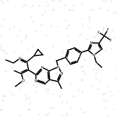 CC/N=C(\C(=C(/C)OC)c1ncc2c(C)nn(Cc3ccc(-c4nc(C(F)(F)F)cn4CC)cc3)c2n1)C1CC1